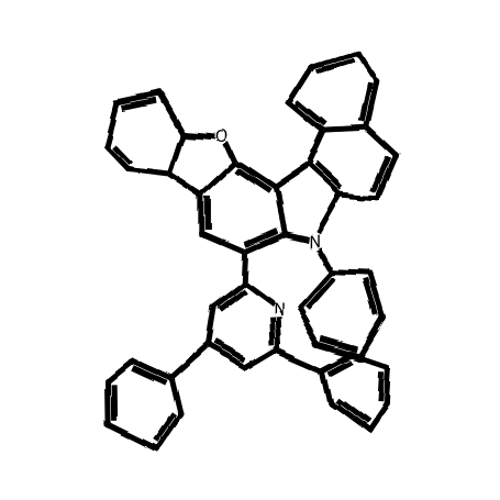 C1=CC2Oc3c(cc(-c4cc(-c5ccccc5)cc(-c5ccccc5)n4)c4c3c3c5ccccc5ccc3n4-c3ccccc3)C2C=C1